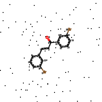 O=C(/C=C/c1cccc(Br)c1)c1cccc(Br)c1